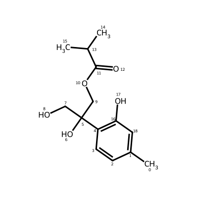 Cc1ccc(C(O)(CO)COC(=O)C(C)C)c(O)c1